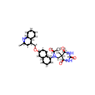 Cc1cc(COc2ccc3c(N(CC4(C)C(=O)NC(=O)NC4=O)C(=O)C(F)(F)F)cccc3c2)c2ccccc2n1